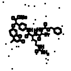 COC(=O)C(Oc1ccc2c(C)cc(=O)oc2c1)c1ccc(NC(=O)C(CCCNC(N)=O)NC(=O)C(NC(=O)OCc2ccccc2)C(C)C)cc1